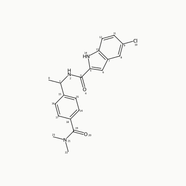 CC(NC(=O)c1cc2cc(Cl)ccc2[nH]1)c1ccc(C(=O)N(C)C)cc1